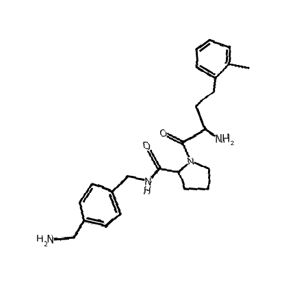 Cc1ccccc1CCC(N)C(=O)N1CCCC1C(=O)NCc1ccc(CN)cc1